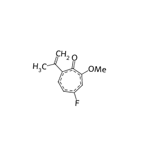 C=C(C)c1ccc(F)cc(OC)c1=O